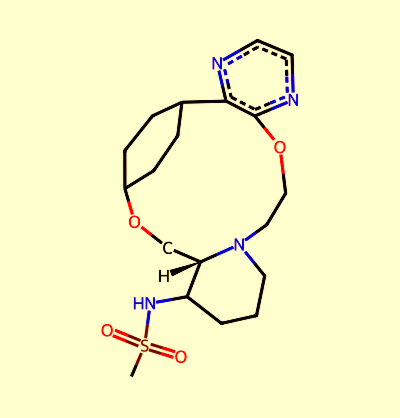 CS(=O)(=O)NC1CCCN2CCOc3nccnc3C3CCC(CC3)OC[C@@H]12